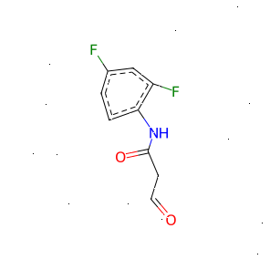 O=CCC(=O)Nc1ccc(F)cc1F